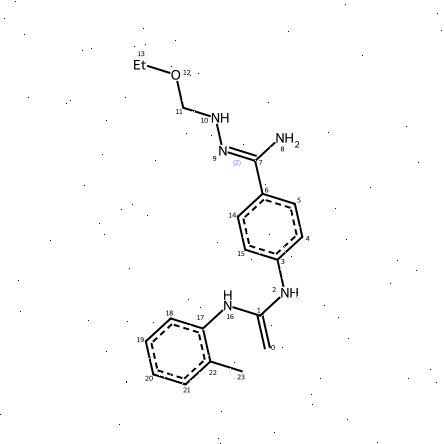 C=C(Nc1ccc(/C(N)=N/NCOCC)cc1)Nc1ccccc1C